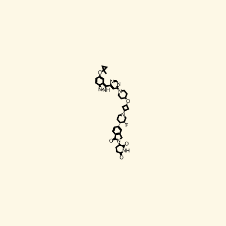 CC1(Oc2ccc3n[nH]c(-c4cc(N5CCC(O[C@H]6C[C@H](N7CC[C@@H](c8ccc9c(c8)CN(C8CCC(=O)NC8=O)C9=O)[C@@H](F)C7)C6)CC5)ncn4)c3c2)CC1